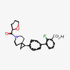 O=C(O)c1cccc(-c2ccc([C@H]3CC34CCN(C(=O)C3CCCO3)CC4)cc2)c1F